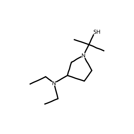 CCN(CC)C1CCN(C(C)(C)S)C1